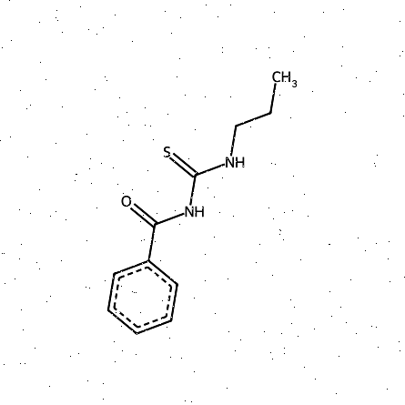 CCCNC(=S)NC(=O)c1ccccc1